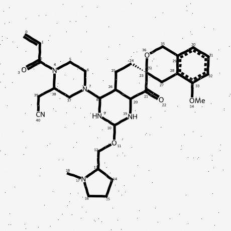 C=CC(=O)N1CCN(C2NC(OCC3CCCN3C)NC3C(=O)[C@]4(CCC32)Cc2c(cccc2OC)CO4)CC1CC#N